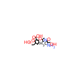 C[C@](N)(CO)C(=O)N1CC(Oc2ccc3c(c2C(=O)O)OB(O)CC3)C1